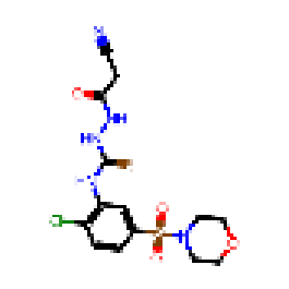 N#CCC(=O)NNC(=S)Nc1cc(S(=O)(=O)N2CCOCC2)ccc1Cl